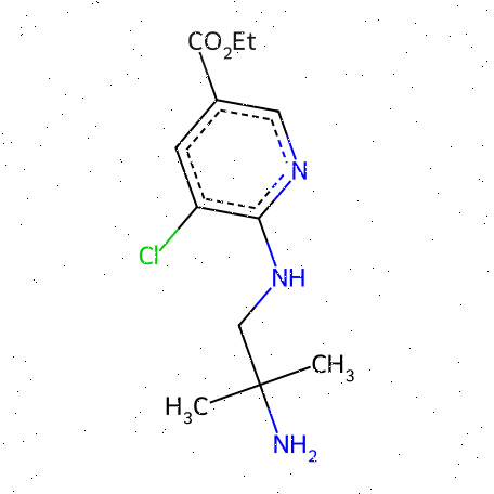 CCOC(=O)c1cnc(NCC(C)(C)N)c(Cl)c1